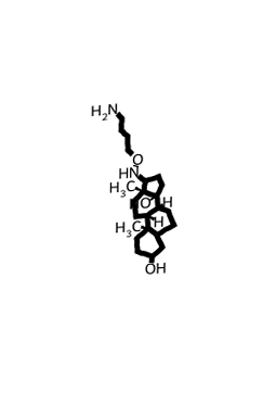 C[C@]12CCC(O)CC1CC[C@@H]1[C@H]2CC[C@]2(C)C(NOCCCCN)CC[C@@]12O